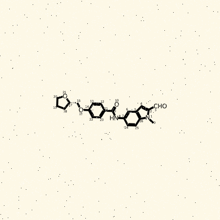 Cn1c(C=O)cc2cc(NC(=O)c3ccc(OC[C@@H]4CCCO4)cc3)ccc21